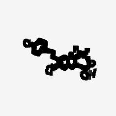 O=C(O)C1=Cc2cc(Cl)c(CCc3ccc(Cl)cc3)cc2OC1C(F)(F)F